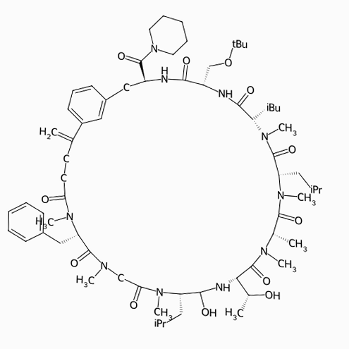 C=C1CCC(=O)N(C)[C@@H](Cc2ccccc2)C(=O)N(C)CC(=O)N(C)[C@@H](CC(C)C)C(O)N[C@@H]([C@@H](C)O)C(=O)N(C)[C@@H](C)C(=O)N(C)[C@@H](CC(C)C)C(=O)N(C)[C@@H]([C@@H](C)CC)C(=O)N[C@@H](COC(C)(C)C)C(=O)N[C@H](C(=O)N2CCCCC2)Cc2cccc1c2